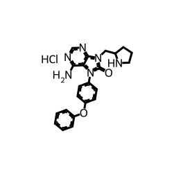 Cl.Nc1ncnc2c1n(-c1ccc(Oc3ccccc3)cc1)c(=O)n2CC1CCCN1